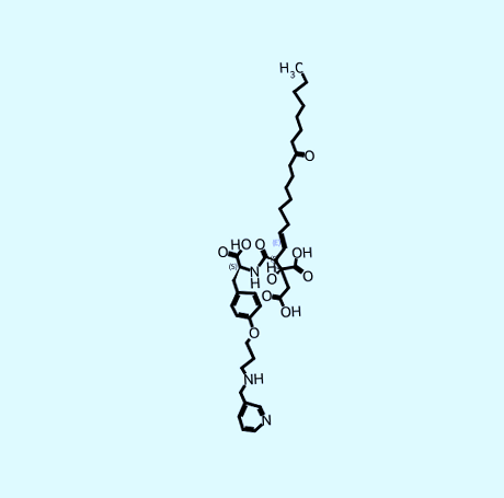 CCCCCCCC(=O)CCCCCC/C=C/[C@H](C(=O)N[C@@H](Cc1ccc(OCCCNCc2cccnc2)cc1)C(=O)O)[C@@](O)(CC(=O)O)C(=O)O